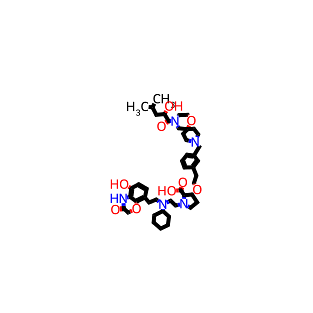 CC(C)CC(O)C(=O)N1CCOC2(CCN(Cc3cccc(CCO[C@H]4CCN(CCN(CCc5ccc(O)c6c5OCC(=O)N6)C5CCCCC5)C4C(=O)O)c3)CC2)C1